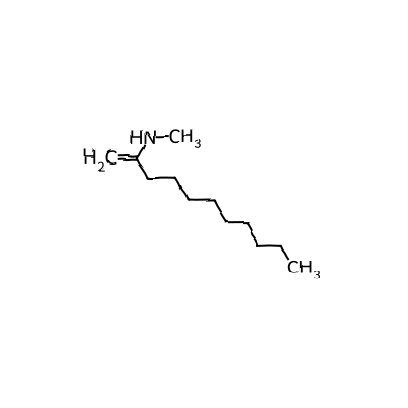 C=C(CCCCCCCCC)NC